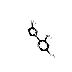 Cc1cnc(-n2ccc(C(F)(F)F)n2)c(N)c1